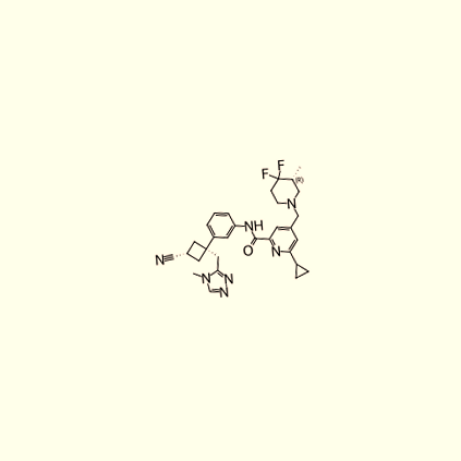 C[C@@H]1CN(Cc2cc(C(=O)Nc3cccc([C@]4(Cc5nncn5C)C[C@@H](C#N)C4)c3)nc(C3CC3)c2)CCC1(F)F